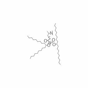 CCCCCCCCCC(CCCCCCCCC)OC(=O)N(OC(CCCCCCCCC)CCCCCCCCC)C(=O)SCC(C)N(C)C